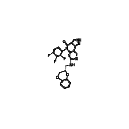 O=c1c2c[nH]nc2c2cnc(NC[C@H]3COc4ccccc4O3)nc2n1-c1ccc(F)c(F)c1F